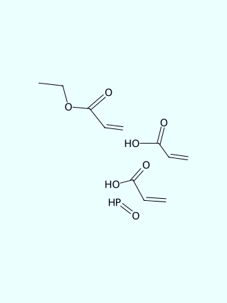 C=CC(=O)O.C=CC(=O)O.C=CC(=O)OCC.O=P